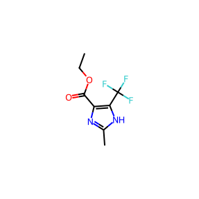 CCOC(=O)c1nc(C)[nH]c1C(F)(F)F